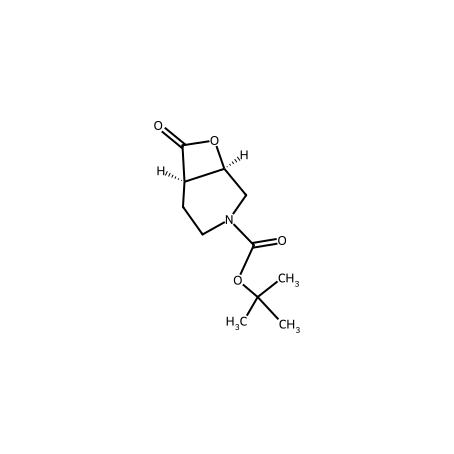 CC(C)(C)OC(=O)N1CC[C@H]2C(=O)O[C@H]2C1